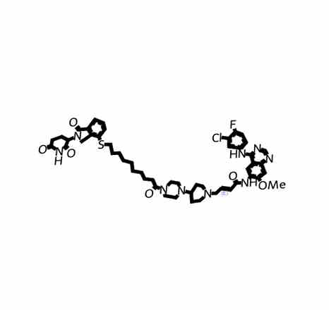 COc1cc2ncnc(Nc3ccc(F)c(Cl)c3)c2cc1NC(=O)/C=C/CN1CCC(N2CCN(C(=O)CCCCCCCCCSc3cccc4c3CN(C3CCC(=O)NC3=O)C4=O)CC2)CC1